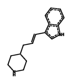 C(=Cc1c[nH]c2ccccc12)CC1CCNCC1